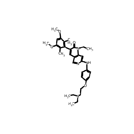 CCN(CC)CCOc1ccc(Nc2cc3c(cn2)cc(-c2c(C)c(OC)cc(OC)c2C)c(=O)n3CC)cc1